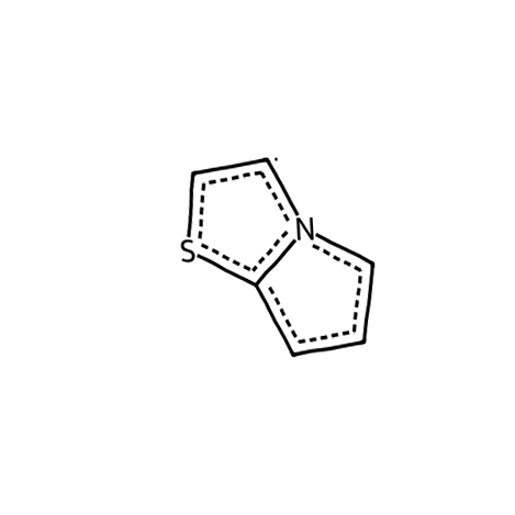 [c]1csc2cccn12